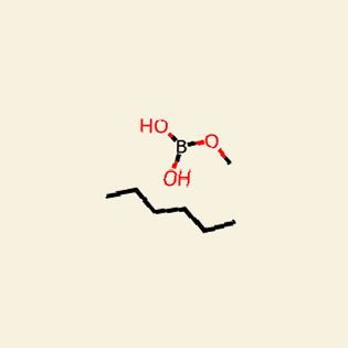 CCCCCC.COB(O)O